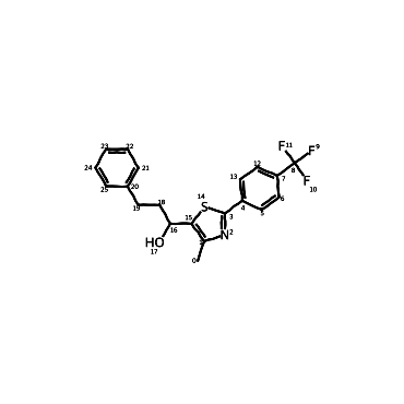 Cc1nc(-c2ccc(C(F)(F)F)cc2)sc1C(O)CCc1ccccc1